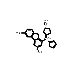 CC(C)(C)c1ccc2c(c1)-c1cc(C(C)(C)C)c[c]([Hf+2]([C]3=CC=CC3)=[C]3CCCC3)c1C2.[Cl-].[Cl-]